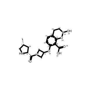 C[C@H]1CN[C@@H](C(=O)N2CC(Oc3ccc4c(c3C(=O)O)OB(O)CC4)C2)C1